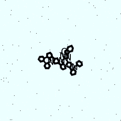 c1ccc(-n2c3ccccc3c3ccc(-c4nc5c(nc4-n4c6ccccc6c6cc7c(cc64)c4cccc6c4n7-c4ccccc4-c4ccccc4-6)oc4ccccc45)cc32)cc1